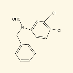 O=CN(Cc1ccccc1)c1ccc(Cl)c(Cl)c1